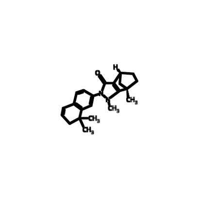 Cn1c2c(c(=O)n1-c1ccc3c(c1)C(C)(C)CC=C3)[C@@H]1CC[C@@]2(C)C1